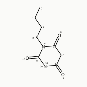 CCCSN1C(=O)CC(=O)NC1=O